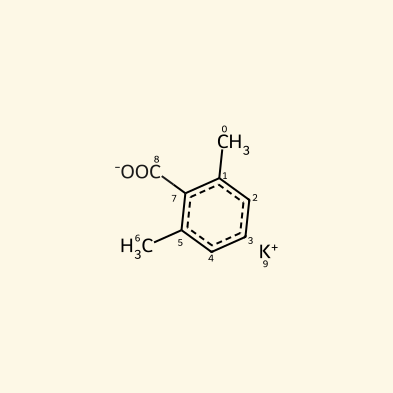 Cc1cccc(C)c1C(=O)[O-].[K+]